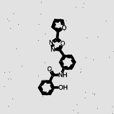 O=C(Nc1cccc(-c2nnc(-c3ccco3)o2)c1)c1ccccc1O